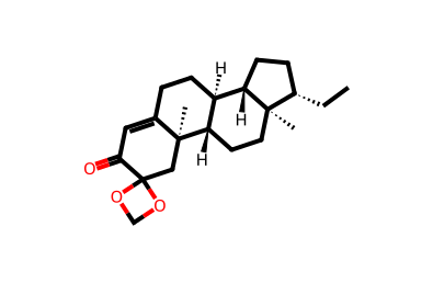 CC[C@H]1CC[C@H]2[C@@H]3CCC4=CC(=O)C5(C[C@]4(C)[C@H]3CC[C@]12C)OCO5